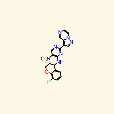 O=[N+]([O-])c1cnc(-c2cnn3ccncc23)nc1NC1CCOc2c(F)cccc21